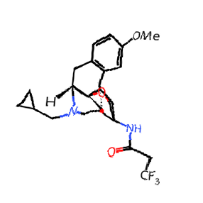 COc1ccc2c(c1)[C@]13CCN(CC4CC4)[C@H](C2)[C@]12CCC(NC(=O)CC(F)(F)F)(CO2)C3